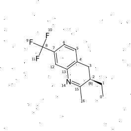 CC[C@@H]1Cc2ccc(C(F)(F)F)cc2N=C1C